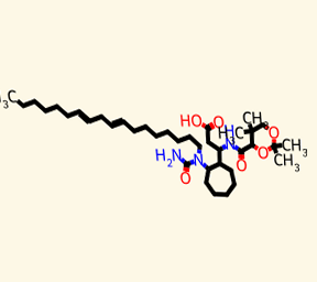 CCCCCCC=CCC=CCCCCCCCN(C(N)=O)C1CCCCCC1C(CC(=O)O)NC(=O)C1OC(C)(C)OCC1(C)C